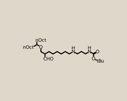 CCCCCCCCC(CCCCCCCC)OCC(C=O)CCCCCCNCCCNC(=O)OC(C)(C)C